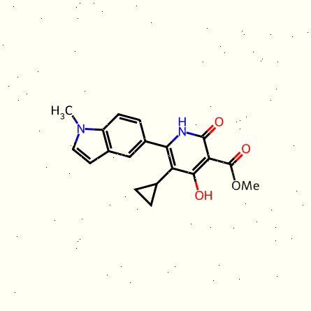 COC(=O)c1c(O)c(C2CC2)c(-c2ccc3c(ccn3C)c2)[nH]c1=O